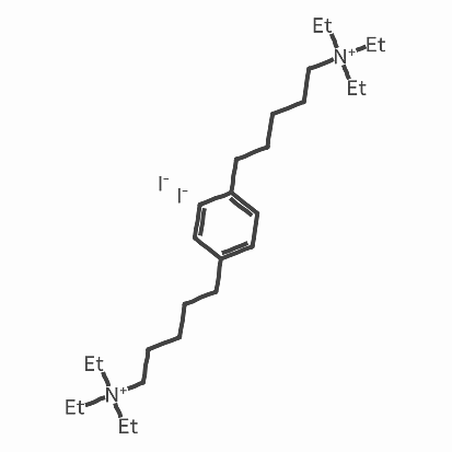 CC[N+](CC)(CC)CCCCCc1ccc(CCCCC[N+](CC)(CC)CC)cc1.[I-].[I-]